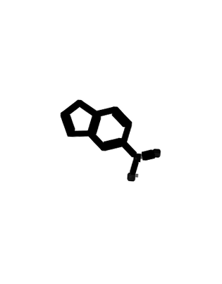 O=[N+]([O-])c1ccc2c(c1)C=CC2